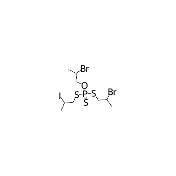 CC(Br)COP(=S)(SCC(C)Br)SCC(C)I